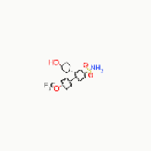 NS(=O)(=O)c1ccc(-c2ccc(OC(F)(F)F)cc2)c([C@H]2CC[C@H](O)CC2)c1